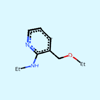 CCNc1ncc[c]c1COCC